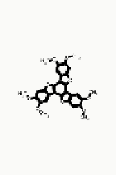 COc1cc2oc3c(c2cc1OC)c1oc2cc(OC)c(OC)cc2c1c1oc2cc(OC)c(OC)cc2c31